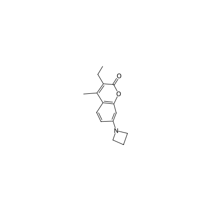 CCc1c(C)c2ccc(N3CCC3)cc2oc1=O